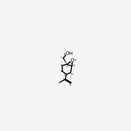 C=C(C)C1CC[C@]2(CO)OC2C1